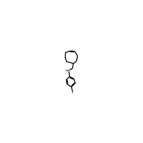 Fc1ccc(NCC2CC/C=C\CCC2)cc1